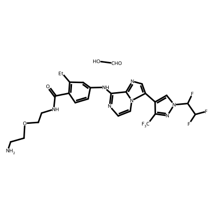 CCc1cc(Nc2nccn3c(-c4cn(C(F)C(F)F)nc4C(F)(F)F)cnc23)ccc1C(=O)NCCOCCN.O=CO